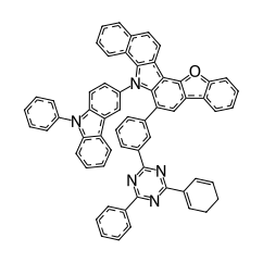 C1=CC(c2nc(-c3ccccc3)nc(-c3cccc(-c4cc5c6ccccc6oc5c5c6ccc7ccccc7c6n(-c6ccc7c(c6)c6ccccc6n7-c6ccccc6)c45)c3)n2)=CCC1